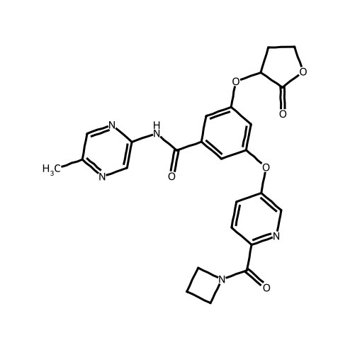 Cc1cnc(NC(=O)c2cc(Oc3ccc(C(=O)N4CCC4)nc3)cc(OC3CCOC3=O)c2)cn1